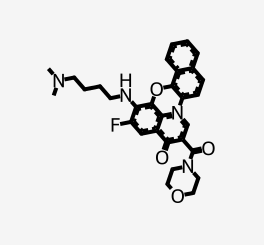 CN(C)CCCCNc1c(F)cc2c(=O)c(C(=O)N3CCOCC3)cn3c2c1Oc1c-3ccc2ccccc12